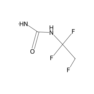 [NH]C(=O)NC(F)(F)CF